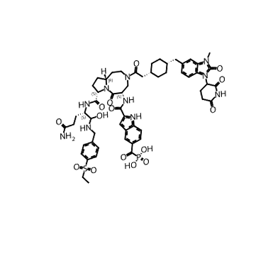 CCS(=O)(=O)c1ccc(CNC(O)[C@H](CCC(N)=O)NC(=O)[C@@H]2CC[C@@H]3CCN(C(=O)C[C@H]4CC[C@@H](Cc5ccc6c(c5)n(C)c(=O)n6C5CCC(=O)NC5=O)CC4)C[C@H](NC(=O)c4cc5cc(C(=O)P(=O)(O)O)ccc5[nH]4)C(=O)N32)cc1